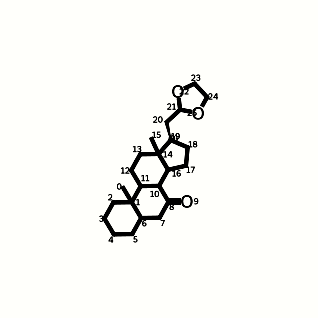 CC12CCCCC1CC(=O)C1C2CCC2(C)C1CC[C@@H]2CC1OCCO1